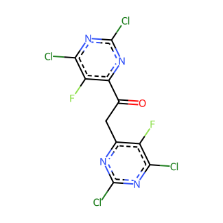 O=C(Cc1nc(Cl)nc(Cl)c1F)c1nc(Cl)nc(Cl)c1F